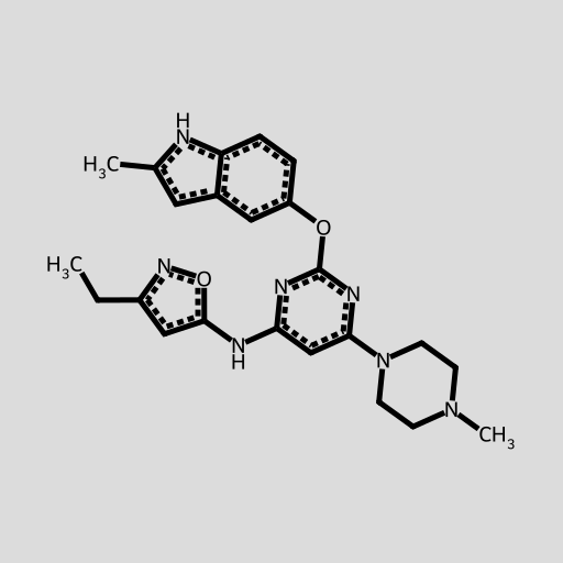 CCc1cc(Nc2cc(N3CCN(C)CC3)nc(Oc3ccc4[nH]c(C)cc4c3)n2)on1